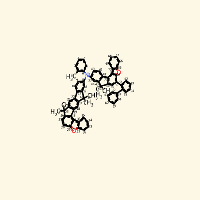 Cc1ccccc1N(c1ccc2c(c1)C(C)(C)c1cc3c(cc1-2)C(C)(C)c1ccc2oc4ccccc4c2c1-3)c1ccc2c(c1)C(C)(C)c1cc(-c3ccccc3-c3ccccc3)c3oc4ccccc4c3c1-2